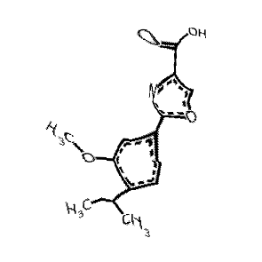 COc1cc(-c2nc(C(=O)O)co2)ccc1C(C)C